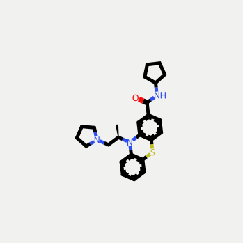 C[C@H](CN1CCCC1)N1c2ccccc2Sc2ccc(C(=O)NC3CCCC3)cc21